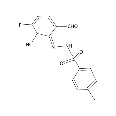 Cc1ccc(S(=O)(=O)NN=C2C(C=O)=CC=C(F)C2C#N)cc1